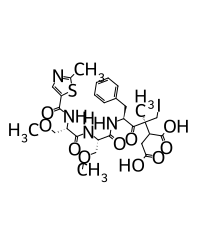 COC[C@H](NC(=O)c1cnc(C)s1)C(=O)N[C@@H](COC)C(=O)N[C@@H](Cc1ccccc1)C(=O)[C@@](C)(CI)C(CC(=O)O)C(=O)O